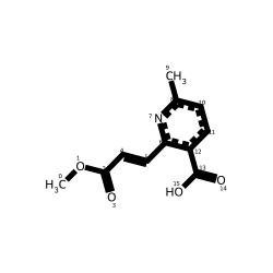 COC(=O)C=Cc1nc(C)ccc1C(=O)O